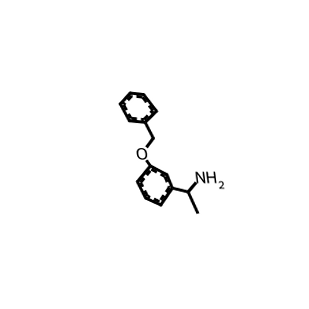 CC(N)c1cccc(OCc2ccccc2)c1